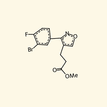 COC(=O)CCc1conc1-c1ccc(F)c(Br)c1